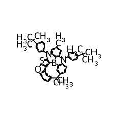 Cc1cc2c3c(c1)N(c1ccc(C(C)(C)C)cc1)c1sc4oc5ccc6cc5c4c1B3c1cc(ccc1N2c1ccc(C(C)(C)C)cc1)C6(C)C